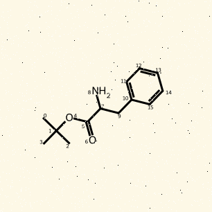 CC(C)(C)OC(=O)C(N)Cc1cc[c]cc1